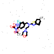 O=C1NC(OC(=O)C(F)(F)F)(c2ccc(CN(CCN3CCOCC3)c3nc4ccc(C(F)(F)F)cc4s3)cc2F)NO1